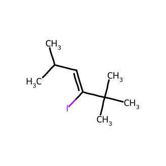 CC(C)/C=C(\I)C(C)(C)C